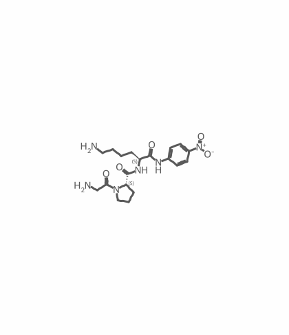 NCCCC[C@H](NC(=O)[C@@H]1CCCN1C(=O)CN)C(=O)Nc1ccc([N+](=O)[O-])cc1